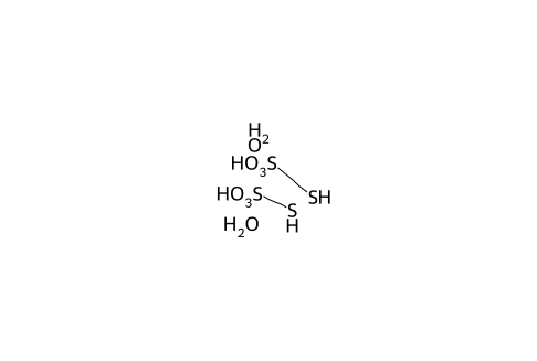 O.O.O=S(=O)(O)S.O=S(=O)(O)S